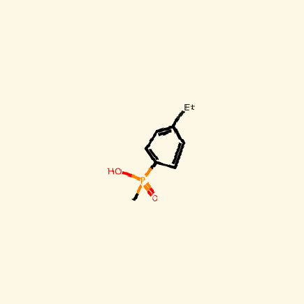 CCc1ccc(P(C)(=O)O)cc1